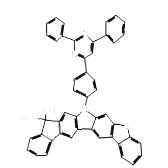 CC1(C)c2ccccc2-c2cc3c4cc5c(cc4n(-c4ccc(-c6cc(-c7ccccc7)nc(-c7ccccc7)n6)cc4)c3cc21)sc1ccccc15